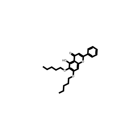 CCCCCOc1cc2oc(-c3ccccc3)cc(=O)c2c(O)c1OCCCCC